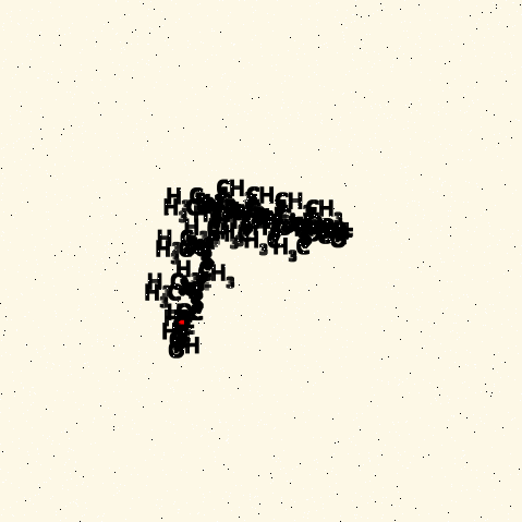 CCCC[N+](CCCC)(CCCC)CCCC.CCCC[N+](CCCC)(CCCC)CCCC.CCCC[N+](CCCC)(CCCC)CCCC.CCCC[N+](CCCC)(CCCC)CCCC.CCCC[N+](CCCC)(CCCC)CCCC.CCCC[N+](CCCC)(CCCC)CCCC.O=[PH]([O-])F.O=[PH]([O-])F.O=[PH]([O-])F.O=[PH]([O-])F.O=[PH]([O-])F.O=[PH]([O-])F